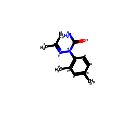 CC(C)=NN(C(N)=O)c1ccc(C)cc1C